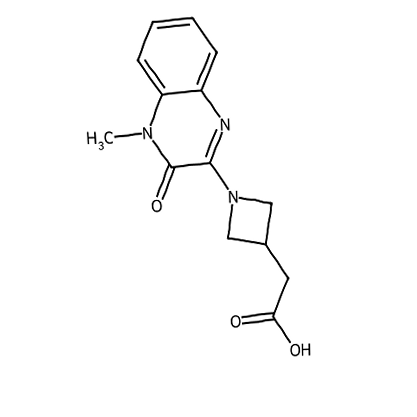 Cn1c(=O)c(N2CC(CC(=O)O)C2)nc2ccccc21